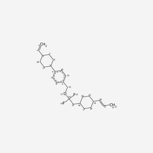 C=CC1CCC(c2ccc(COC(F)(F)CC3CCC(C=CC)CC3)cc2)CC1